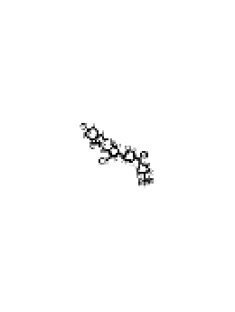 O=C1CCC2(CC1)CCN(Cc1c(Cl)cc(-c3ccc(C(=O)N4CCC(C(F)(F)F)CC4)cc3)cc1Cl)C2=O